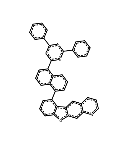 c1ccc(-c2nc(-c3ccccc3)nc(-c3cccc4c(-c5cccc6oc7cc8ncccc8cc7c56)cccc34)n2)cc1